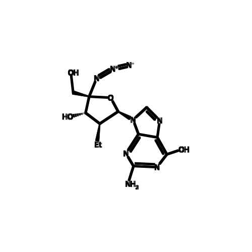 CC[C@@H]1[C@H](n2cnc3c(O)nc(N)nc32)O[C@@](CO)(N=[N+]=[N-])[C@H]1O